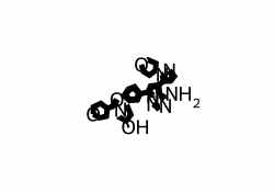 Nc1ncnn2c(-c3cccc([C@@H]4C[C@@H](O)CN4C(=O)C4CCOCC4)c3)cc(-c3ccnn3C3CCOCC3)c12